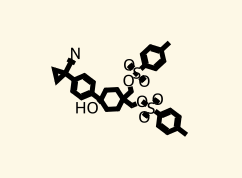 Cc1ccc(S(=O)(=O)OCC2(COS(=O)(=O)c3ccc(C)cc3)CCC(O)(c3ccc(C4(C#N)CC4)cc3)CC2)cc1